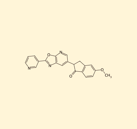 COc1ccc2c(c1)CC(c1cnc3oc(-c4cccnc4)nc3c1)C2=O